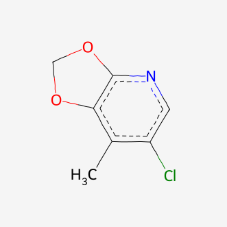 Cc1c(Cl)cnc2c1OCO2